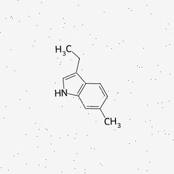 CCc1c[nH]c2cc(C)ccc12